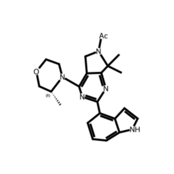 CC(=O)N1Cc2c(N3CCOC[C@H]3C)nc(-c3cccc4[nH]ccc34)nc2C1(C)C